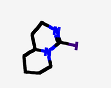 IC1=NCCC2CCCCN12